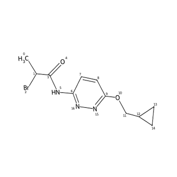 CC(Br)C(=O)Nc1ccc(OCC2CC2)nn1